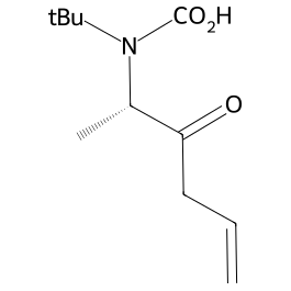 C=CCC(=O)[C@H](C)N(C(=O)O)C(C)(C)C